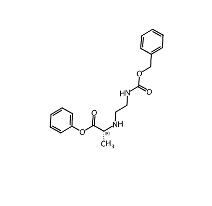 C[C@@H](NCCNC(=O)OCc1ccccc1)C(=O)Oc1ccccc1